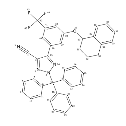 N#Cc1nn(C(c2ccccc2)(c2ccccc2)c2ccccc2)nc1-c1cc(OC2CCCc3ccccc32)cc(C(F)(F)F)c1